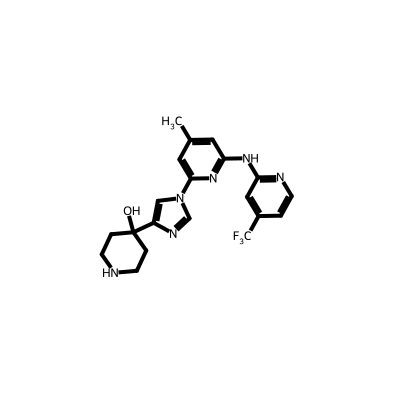 Cc1cc(Nc2cc(C(F)(F)F)ccn2)nc(-n2cnc(C3(O)CCNCC3)c2)c1